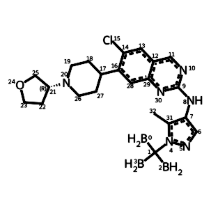 BC(B)(B)n1ncc(Nc2ncc3cc(Cl)c(C4CCN([C@@H]5CCOC5)CC4)cc3n2)c1C